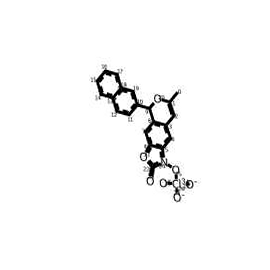 CC1=Cc2cc3c(cc2C(c2ccc4ccccc4c2)O1)oc(=O)n3O[Cl+3]([O-])([O-])[O-]